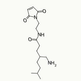 CC(C)CCC(CN)CCC(=O)NCCN1C(=O)C=CC1=O